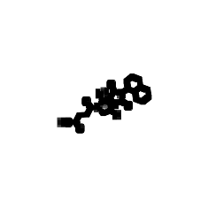 O=C(O)CCC(=O)N1C[C@@H]2C[C@H]1[C@H]1C(=O)N(c3cccc4ccccc34)C(=O)N21